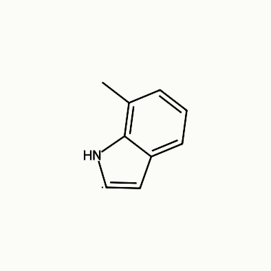 Cc1cccc2c[c][nH]c12